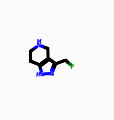 FCc1n[nH]c2c1CNCC2